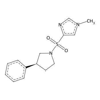 Cn1cnc(S(=O)(=O)N2C[CH][C@@H](c3ccccc3)C2)c1